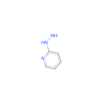 [NH]Nc1ccccn1